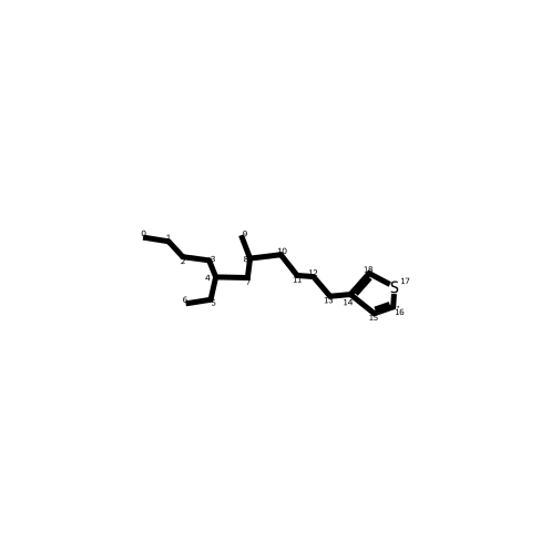 CCCCC(CC)CC(C)CCCCc1c[c]sc1